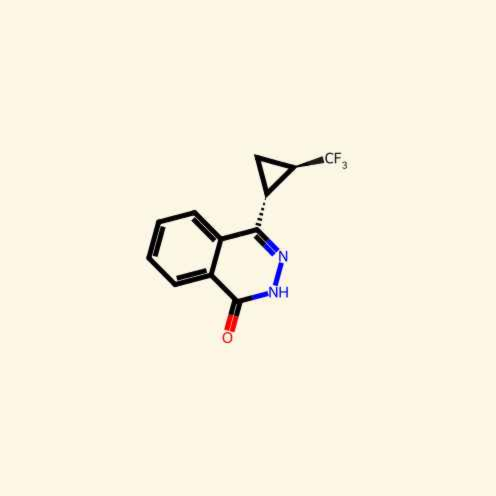 O=c1[nH]nc([C@@H]2C[C@H]2C(F)(F)F)c2ccccc12